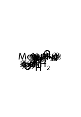 CNN(C)C(NC1CC2(C1)CN(C(=O)C#CCN1CCCCC1)C2)/C(=C\N)C(N)c1ccc(Oc2ccccc2)cc1